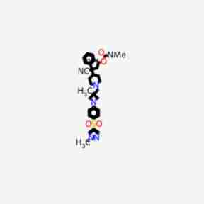 CCC[C@H](CC(C#N)(c1ccccc1)C1CCN(CC2(C)CN(c3ccc(S(=O)(=O)c4cnn(C)c4)cc3)C2)CC1)OC(=O)NC